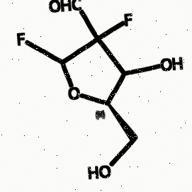 O=CC1(F)C(F)O[C@H](CO)C1O